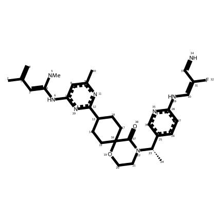 C=C(C)/C=C(\NC)Nc1cc(C)nc(C2CCC3(CC2)OCCN([C@@H](C)c2ccc(N/C=C(/F)C=N)nc2)C3=O)n1